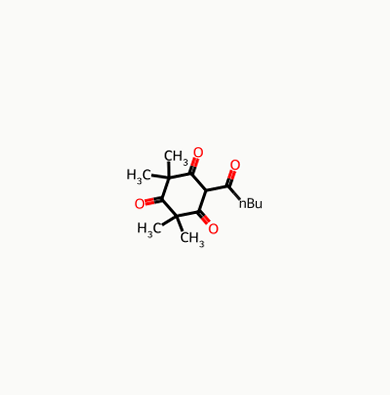 CCCCC(=O)C1C(=O)C(C)(C)C(=O)C(C)(C)C1=O